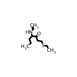 C=CNC(CCC)C(=O)CCSCC